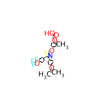 Cc1cc(OCc2nc(-c3ccc(OCC(C)C)cc3)c(-c3ccc(OC(F)(F)F)cc3)s2)ccc1OCC(=O)O